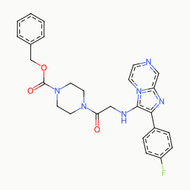 O=C(CNc1c(-c2ccc(F)cc2)nc2cnccn12)N1CCN(C(=O)OCc2ccccc2)CC1